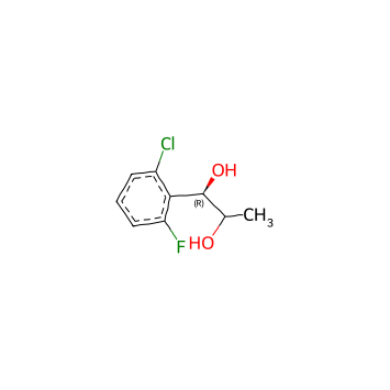 CC(O)[C@H](O)c1c(F)cccc1Cl